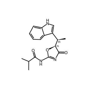 CC(C)C(=O)NC1=NC(=O)[C@H]([C@H](C)c2c[nH]c3ccccc23)O1